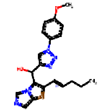 CCC/C=C/c1sc2cncn2c1C(O)c1cn(-c2ccc(OC)cc2)nn1